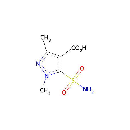 Cc1nn(C)c(S(N)(=O)=O)c1C(=O)O